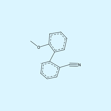 COc1ccccc1-c1[c]cccc1C#N